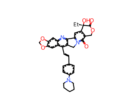 CC[C@@]1(O)C(=O)OCc2c1cc1n(c2=O)Cc2c-1nc1cc3c(cc1c2/C=C/c1ccc(N2CCCCC2)cc1)OCO3